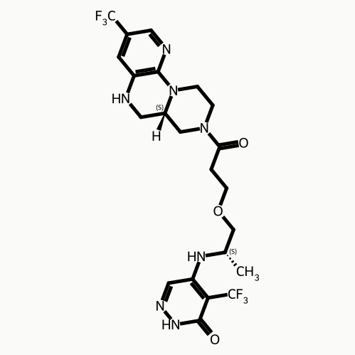 C[C@@H](COCCC(=O)N1CCN2c3ncc(C(F)(F)F)cc3NC[C@H]2C1)Nc1cn[nH]c(=O)c1C(F)(F)F